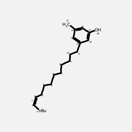 CCCC/C=C\CCCCCCCCCc1cc(C)cc(O)c1